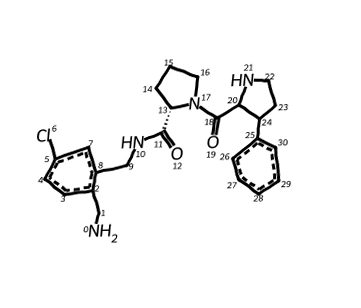 NCc1ccc(Cl)cc1CNC(=O)[C@@H]1CCCN1C(=O)C1NCCC1c1ccccc1